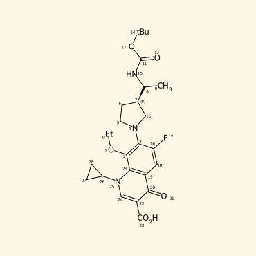 CCOc1c(N2CC[C@@H](C(C)NC(=O)OC(C)(C)C)C2)c(F)cc2c(=O)c(C(=O)O)cn(C3CC3)c12